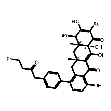 CC(=O)C1=C(O)C(C(C)C)[C@@]2(C)C[C@@]3(C)Cc4c(-c5ccc(CC(=O)CCC(C)C)cc5)ccc(O)c4C(=O)C3=C(O)[C@@]2(O)C1=O